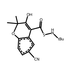 CC(C)(C)NSC(=O)C1=C(O)C(C)(C)Oc2ccc(C#N)cc21